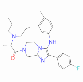 CCCN(CCC)[C@@H](C)C(=O)N1CCn2c(nc(-c3ccc(F)cc3)c2Nc2ccc(C)cc2)C1